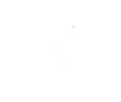 Cc1ccc(S(=O)(=O)Oc2cccc3cccc(S(=O)(=O)OS(c4ccccc4)(c4ccccc4)c4ccc(OC(C)(C)C)cc4)c23)cc1